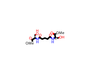 COC(=O)[C@@H](CO)NC(=O)CCCC(=O)N[C@H](CO)C(=O)OC